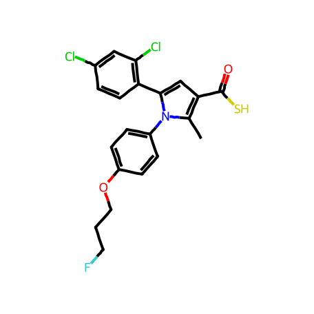 Cc1c(C(=O)S)cc(-c2ccc(Cl)cc2Cl)n1-c1ccc(OCCCF)cc1